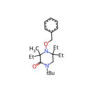 CCC1(CC)CN(C(C)(C)C)C(=O)C(C)(CC)N1OCc1ccccc1